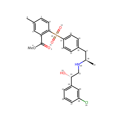 COC(=O)c1cc(C)ccc1S(=O)(=O)c1ccc(C[C@@H](C)NC[C@@H](O)c2cccc(Cl)c2)cc1